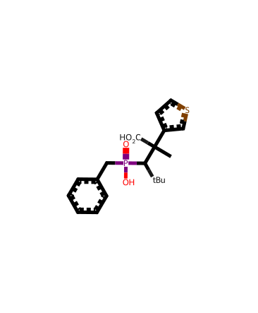 CC(C)(C)C(C(C)(C(=O)O)c1ccsc1)P(=O)(O)Cc1ccccc1